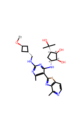 CCO[C@H]1C[C@H](CNc2nc(C)c(-c3nc4c(C)nccc4s3)c(N[C@@H]3C[C@H](C(C)(C)O)[C@@H](O)[C@H]3O)n2)C1